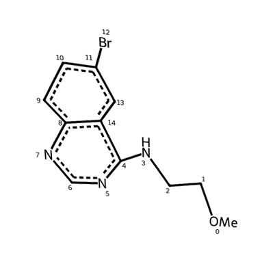 COCCNc1ncnc2ccc(Br)cc12